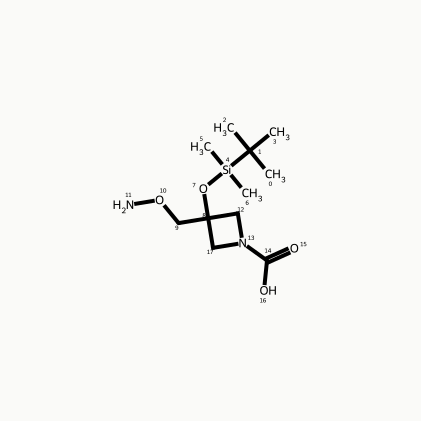 CC(C)(C)[Si](C)(C)OC1(CON)CN(C(=O)O)C1